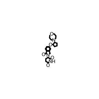 O=C1CCC(N2Cc3cc(OC4CCCC4N4CCCOCCC4)ccc3C2=O)C(=O)N1